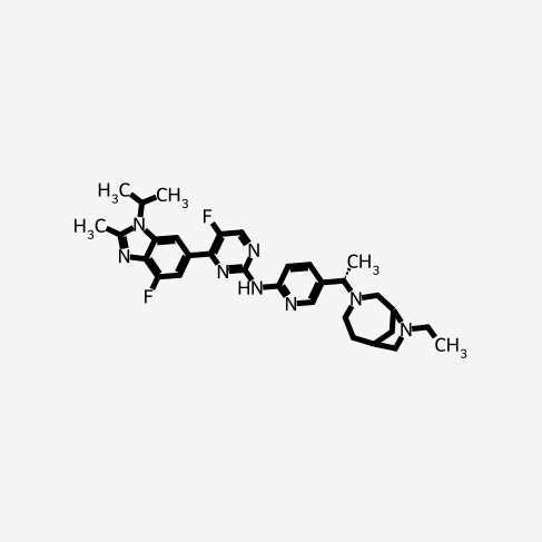 CCN1CC2CCN([C@@H](C)c3ccc(Nc4ncc(F)c(-c5cc(F)c6nc(C)n(C(C)C)c6c5)n4)nc3)CC1C2